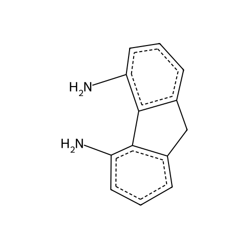 Nc1cccc2c1-c1c(N)cccc1C2